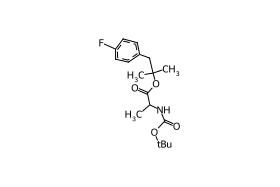 CC(NC(=O)OC(C)(C)C)C(=O)OC(C)(C)Cc1ccc(F)cc1